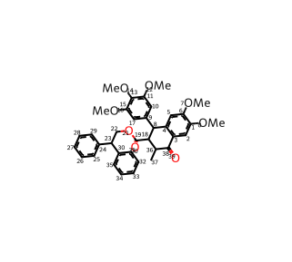 COc1cc2c(cc1OC)C(c1cc(OC)c(OC)c(OC)c1)C(C(=O)OCC(c1ccccc1)c1ccccc1)C(C)C2=O